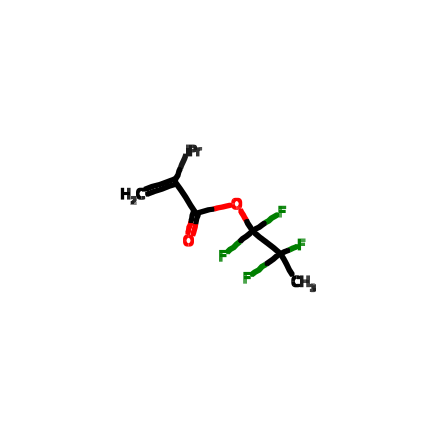 C=C(C(=O)OC(F)(F)C(C)(F)F)C(C)C